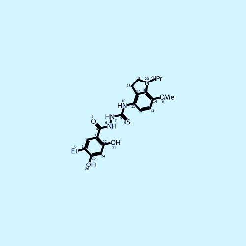 CCc1cc(C(=O)NNC(=S)Nc2ccc(OC)c3c2CCN3C(C)C)c(O)cc1O